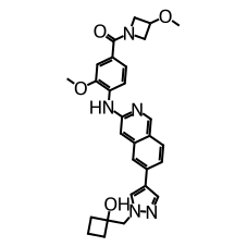 COc1cc(C(=O)N2CC(OC)C2)ccc1Nc1cc2cc(-c3cnn(CC4(O)CCC4)c3)ccc2cn1